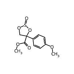 COC(=O)C1(c2ccc(OC)cc2)COS(=O)O1